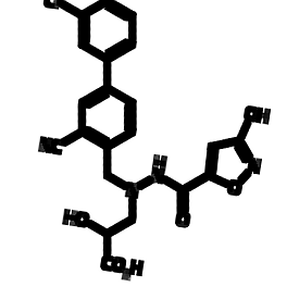 N#Cc1cc(-c2cccc(Cl)c2)ccc1CN(CC(O)C(=O)O)NC(=O)c1cc(O)no1